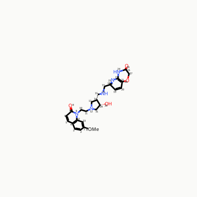 COc1ccc2ccc(=O)n(CCN3C[C@H](CNCc4ccc5c(n4)NC(=O)CO5)[C@H](O)C3)c2c1